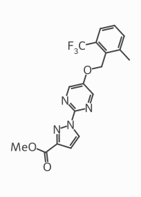 COC(=O)c1ccn(-c2ncc(OCc3c(C)cccc3C(F)(F)F)cn2)n1